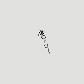 CCCC[C@H]1CC[C@H](CCC2CCC(c3ncc(C)cn3)CC2)CC1